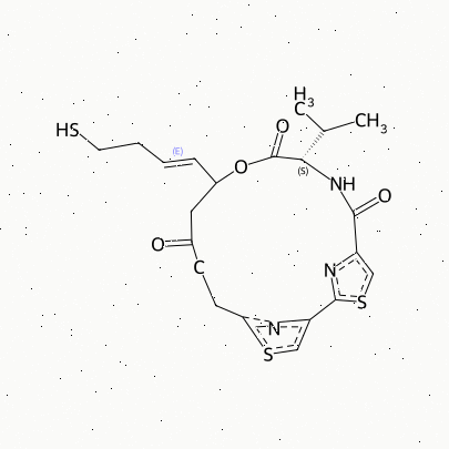 CC(C)[C@@H]1NC(=O)c2csc(n2)-c2csc(n2)CCC(=O)CC(/C=C/CCS)OC1=O